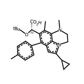 Cc1ccc(-c2c([C@H](OC(C)(C)C)C(=O)O)c(C)c3c4c2cc(C2CC2)n4CCN3C)cc1